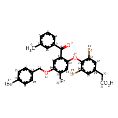 Cc1cccc(C(=O)c2cc(OCc3ccc(C(C)(C)C)cc3)c(C(C)C)cc2Oc2c(Br)cc(CC(=O)O)cc2Br)c1